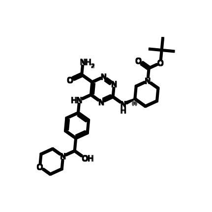 CC(C)(C)OC(=O)N1CCC[C@@H](Nc2nnc(C(N)=O)c(Nc3ccc(C(O)N4CCOCC4)cc3)n2)C1